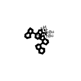 CCC[CH2][Ti]([CH2]CCC)([CH]1C(CC)=Cc2c(-c3cccc4ccccc34)cccc21)([CH]1C(CC)=Cc2c(-c3cccc4ccccc34)cccc21)[SiH](C)C